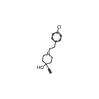 C#CC1(O)CCN(CCc2ccc(Cl)cc2)CC1